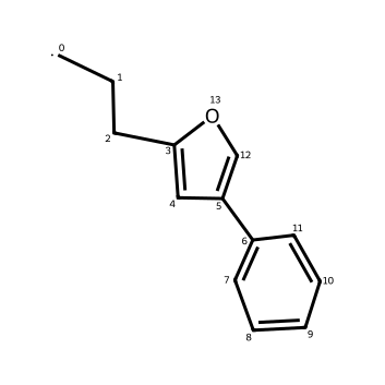 [CH2]CCc1cc(-c2ccccc2)co1